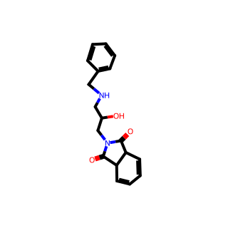 O=C1C2C=CC=CC2C(=O)N1CC(O)CNCc1ccccc1